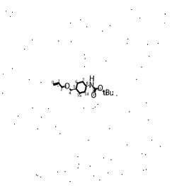 C=CCOC[C@H]1CC[C@H](NC(=O)OC(C)(C)C)CC1